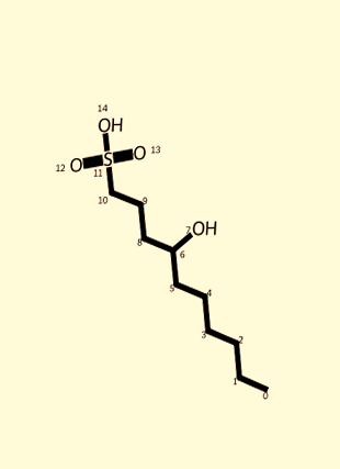 CCCCCCC(O)CCCS(=O)(=O)O